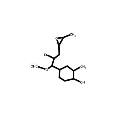 CCC(CC1OC1C)C(OC=O)C1CCC(O)C(C)C1